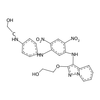 O=[N+]([O-])c1cc([N+](=O)[O-])c(Nc2c(OCCO)nn3ccccc23)cc1Nc1ccc(NCCO)cc1